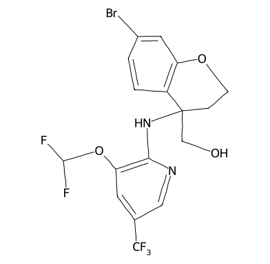 OCC1(Nc2ncc(C(F)(F)F)cc2OC(F)F)CCOc2cc(Br)ccc21